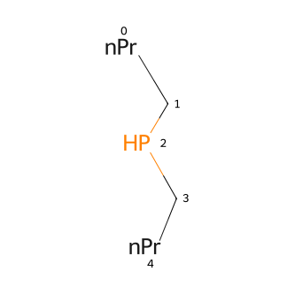 CCCCPCCCC